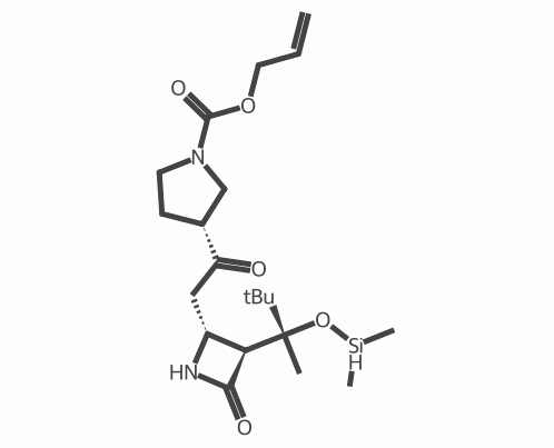 C=CCOC(=O)N1CC[C@@H](C(=O)C[C@H]2NC(=O)[C@@H]2[C@@](C)(O[SiH](C)C)C(C)(C)C)C1